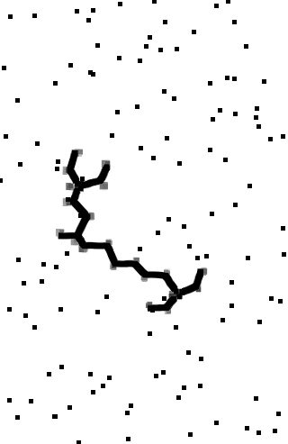 CCN(CC)CCCCC[CH]C(C)CCN(CC)CC